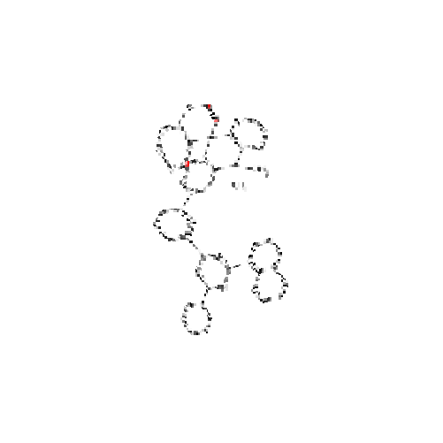 CC1(C)c2ccccc2C2(c3ccccc3Sc3ccccc32)c2ccc(-c3cccc(-c4nc(-c5ccccc5)nc(-c5cccc6ccccc56)n4)c3)cc21